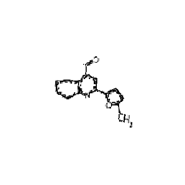 Cc1ccc(-c2cc([C]=O)c3ccccc3n2)o1